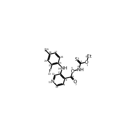 CCOC(=S)NOC(=O)c1ccncc1Nc1ccc(I)cc1F